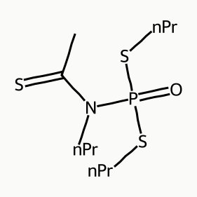 CCCSP(=O)(SCCC)N(CCC)C(C)=S